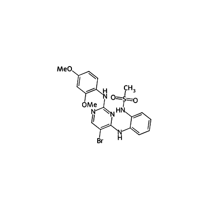 COc1ccc(Nc2ncc(Br)c(Nc3ccccc3NS(C)(=O)=O)n2)c(OC)c1